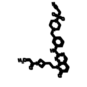 C=CC(=O)N1CC(CCn2c(=O)ccc3cnc(Nc4cccc(CN5CCN(S(=O)(=O)CC#N)CC5)c4)nc32)C1